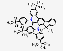 CC(C)(C)c1ccc(N2B3c4c(cc5c(c4-n4c6ccc(C(C)(C)C)cc6c6cc(C(C)(C)C)cc3c64)C(C)(C)c3ccccc3-5)-c3cc(C(C)(C)C)ccc32)cc1